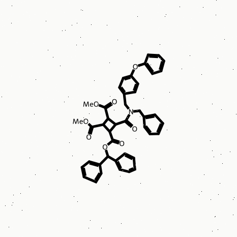 COC(=O)C1C(C(=O)OC)C(C(=O)N(Cc2ccccc2)Cc2ccc(Oc3ccccc3)cc2)C1C(=O)OC(c1ccccc1)c1ccccc1